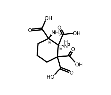 N[C@]1(C(=O)O)C(C(=O)O)(C(=O)O)CCC[C@]1(N)C(=O)O